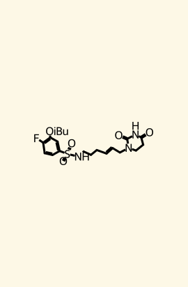 CC(C)COc1cc(S(=O)(=O)NCCCC=CCN2CCC(=O)NC2=O)ccc1F